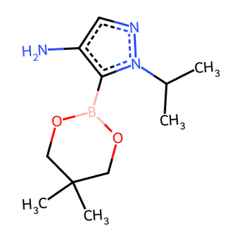 CC(C)n1ncc(N)c1B1OCC(C)(C)CO1